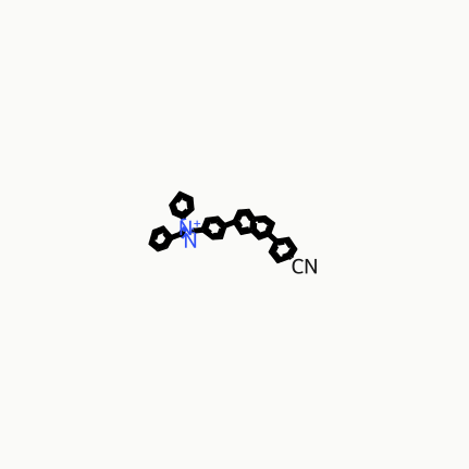 N#Cc1ccc(-c2ccc3ccc(-c4ccc(C5=[N+](c6ccccc6)C(c6ccccc6)=N5)cc4)cc3c2)cc1